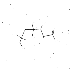 CCC(C)(C)CC(C)(C)C(O)CC(C)=O